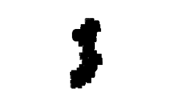 O=c1nc(OCc2ccc(Oc3ccc(C(F)(F)F)nc3)c(F)c2)cc2n1CC13CC(CN21)C3